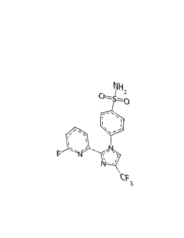 NS(=O)(=O)c1ccc(-n2cc(C(F)(F)F)nc2-c2cccc(F)n2)cc1